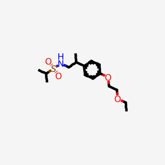 CCOCCOc1ccc(C(C)CNS(=O)(=O)C(C)C)cc1